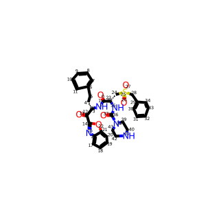 O=C(N[C@@H](CCc1ccccc1)C(=O)c1nc2ccccc2o1)[C@H](CS(=O)(=O)Cc1ccccc1)NC(=O)N1CCNCC1